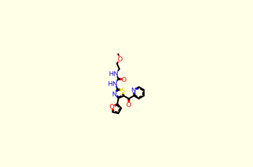 COCCNC(=O)Nc1nc(-c2ccco2)c(C(=O)c2ccccn2)s1